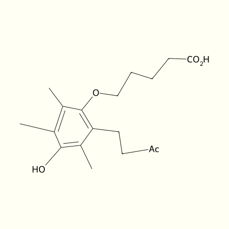 CC(=O)CCc1c(C)c(O)c(C)c(C)c1OCCCCC(=O)O